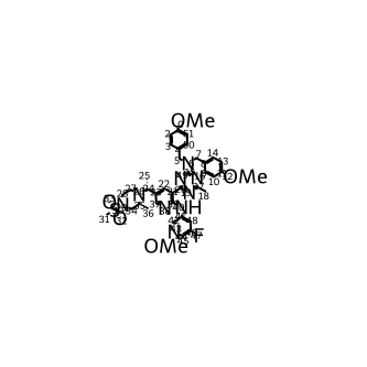 COc1ccc(CN(Cc2ccc(OC)cc2)c2nc(C)nc(-c3cc([C@@H](C)N4CCN(S(C)(=O)=O)C[C@@H]4C)cnc3Nc3cnc(OC)c(F)c3)n2)cc1